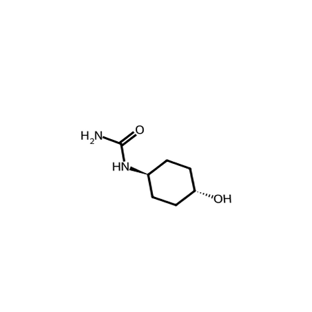 NC(=O)N[C@H]1CC[C@H](O)CC1